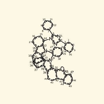 c1ccc(-c2nc(-c3ccccc3)n(-c3cccc4c5ccccc5n(-c5ccccc5-n5c6ccccc6c6ccc7c8ccccc8oc7c65)c34)n2)cc1